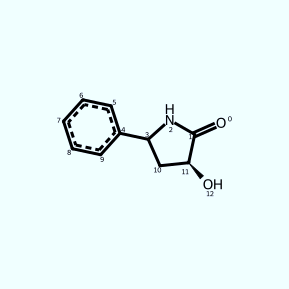 O=C1NC(c2ccccc2)C[C@@H]1O